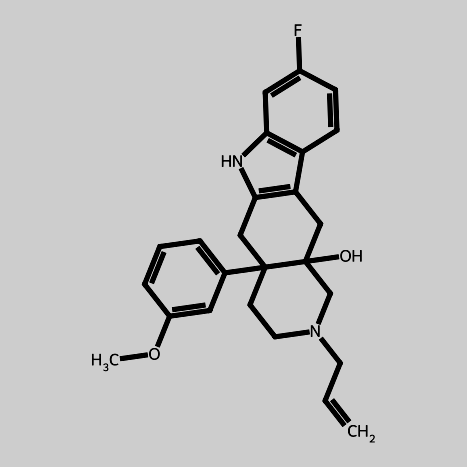 C=CCN1CCC2(c3cccc(OC)c3)Cc3[nH]c4cc(F)ccc4c3CC2(O)C1